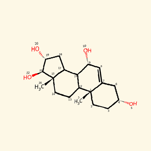 C[C@]12CC[C@@H](O)CC1=C[C@@H](O)C1C2CC[C@@]2(C)C1C[C@@H](O)[C@@H]2O